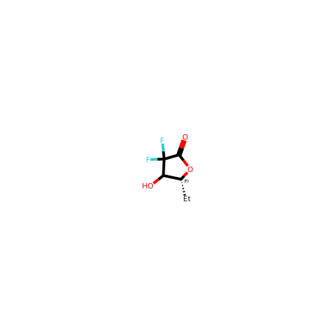 CC[C@H]1OC(=O)C(F)(F)C1O